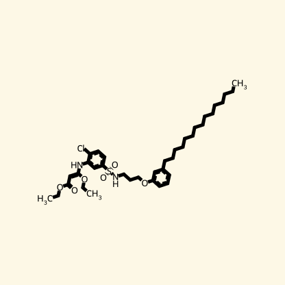 CCCCCCCCCCCCCCCc1cccc(OCCCNS(=O)(=O)c2ccc(Cl)c(NC(=CC(=O)OCC)OCC)c2)c1